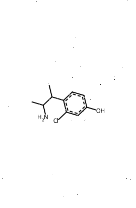 CC(N)C(C)c1ccc(O)cc1Cl